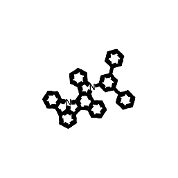 c1ccc(-c2cc(-c3ccccc3)cc(-n3c4ccccc4c4c3c3ccccc3c3c5cccc6c7ccccc7n(c65)c34)c2)cc1